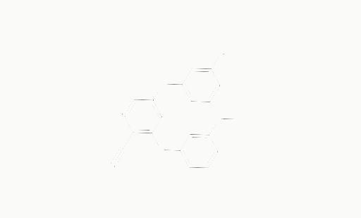 COc1cccc(Sc2cc(Oc3cccc(Br)c3)cnc2C#N)c1